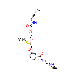 CCC(C)NCCNC(=O)c1cccc(OCC(OCCOCC(=O)NCC#CC(C)C)SSC)c1